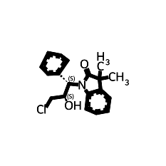 CC1(C)C(=O)N([C@@H](c2ccccc2)[C@H](O)CCl)c2ccccc21